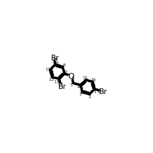 Brc1ccc(COc2cc(Br)ccc2Br)cc1